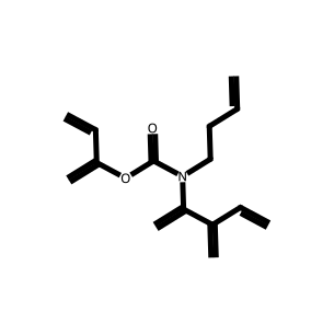 C=CCCN(C(=C)C(=C)C=C)C(=O)OC(=C)C=C